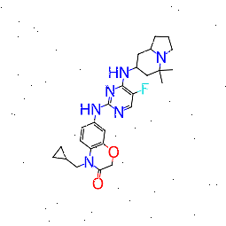 CC1(C)CC(Nc2nc(Nc3ccc4c(c3)OCC(=O)N4CC3CC3)ncc2F)CC2CCCN21